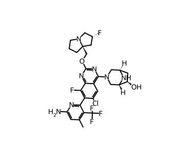 Cc1cc(N)nc(-c2c(Cl)cc3c(N4C[C@H]5C[C@@H](O)[C@H](C4)N5)nc(OC[C@@]45CCCN4C[C@H](F)C5)nc3c2F)c1C(F)(F)F